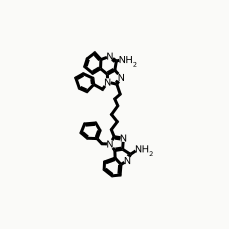 Nc1nc2ccccc2c2c1nc(CCCCCCc1nc3c(N)nc4ccccc4c3n1Cc1ccccc1)n2Cc1ccccc1